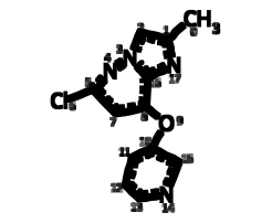 Cc1cn2nc(Cl)cc(Oc3cccnc3)c2n1